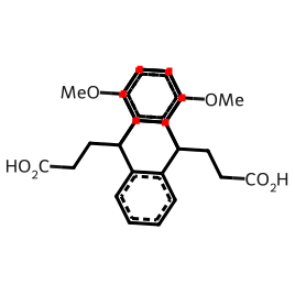 COc1ccc(OC)c2c1C1(CCC(=O)O)c3ccccc3C2(CCC(=O)O)c2ccccc21